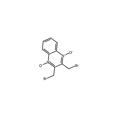 [O-][n+]1c(CBr)c(CBr)[n+]([O-])c2ccccc21